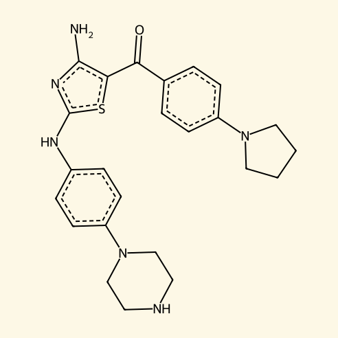 Nc1nc(Nc2ccc(N3CCNCC3)cc2)sc1C(=O)c1ccc(N2CCCC2)cc1